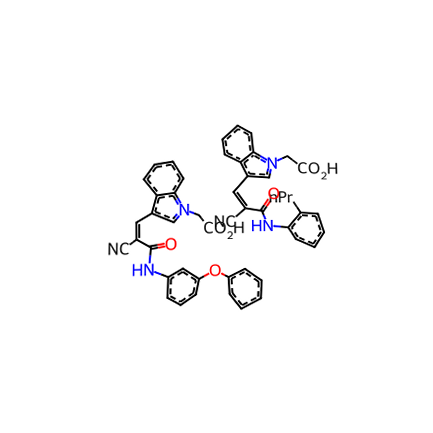 CCCc1ccccc1NC(=O)C(C#N)=Cc1cn(CC(=O)O)c2ccccc12.N#CC(=Cc1cn(CC(=O)O)c2ccccc12)C(=O)Nc1cccc(Oc2ccccc2)c1